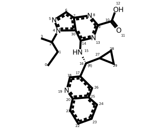 CCC(C)n1ncc2nc(C(=O)O)nc(N[C@@H](c3cnc4ccccc4c3)C3CC3)c21